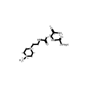 CCCCCCCC(=O)N[C@H](CC(=O)NCCN1CCN(C)CC1)C(N)=O